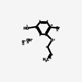 C=CCOc1cc(O)ccc1Br.[K+].[OH-]